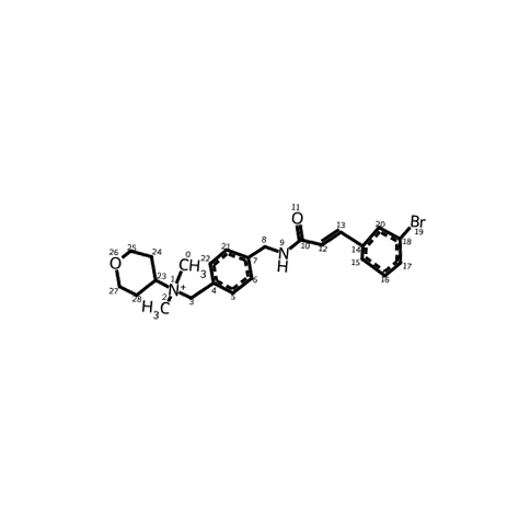 C[N+](C)(Cc1ccc(CNC(=O)C=Cc2cccc(Br)c2)cc1)C1CCOCC1